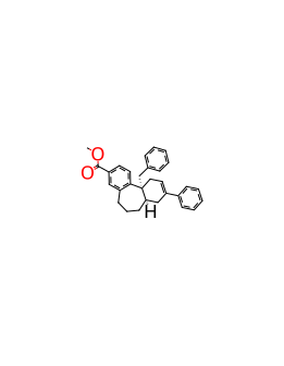 COC(=O)c1ccc2c(c1)CCC[C@@H]1CC(c3ccccc3)=CC[C@]21Cc1ccccc1